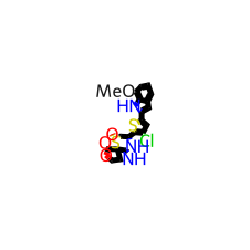 COc1cccc2cc(-c3cc(Cl)c(C4CS(=O)(=O)C5(CCOC5)C(=N)N4)s3)[nH]c12